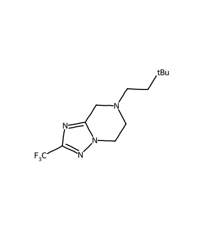 CC(C)(C)CCN1CCn2nc(C(F)(F)F)nc2C1